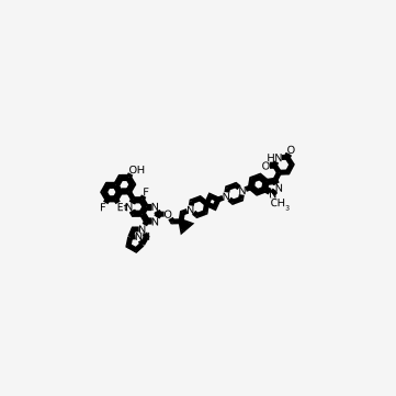 CCc1c(F)ccc2cc(O)cc(-c3ncc4c(N5CC6CCC(C5)N6)nc(OCC5(CN6CCC7(CC6)CC(N6CCN(c8ccc9c(C%10CCC(=O)NC%10=O)nn(C)c9c8)CC6)C7)CC5)nc4c3F)c12